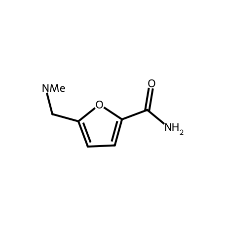 CNCc1ccc(C(N)=O)o1